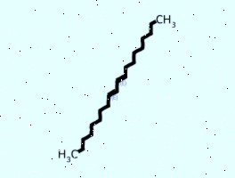 CCCCCCCC/C=C/C=C/CCCCCCCC